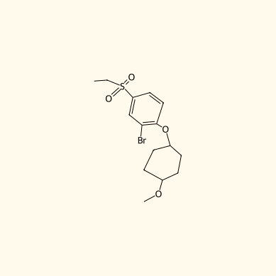 CCS(=O)(=O)c1ccc(OC2CCC(OC)CC2)c(Br)c1